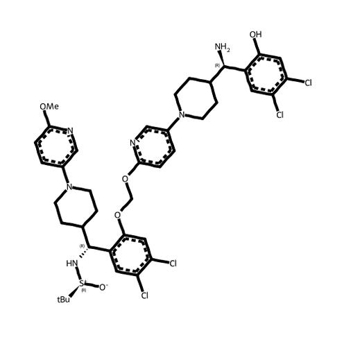 COc1ccc(N2CCC([C@@H](N[S@@+]([O-])C(C)(C)C)c3cc(Cl)c(Cl)cc3OCOc3ccc(N4CCC([C@@H](N)c5cc(Cl)c(Cl)cc5O)CC4)cn3)CC2)cn1